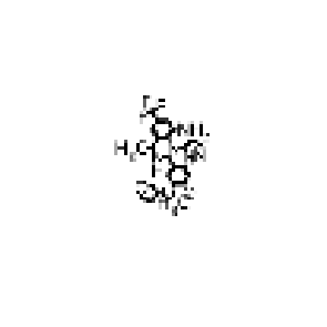 COc1cc2c(cc1O[C@H]1CCOC1)c(N[C@H](C)c1cc(N)cc(C(F)(F)F)c1)nc1ccnn12